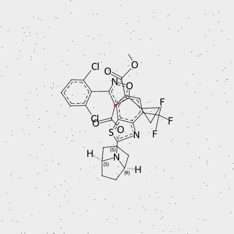 COC(=O)c1cc(C(F)(F)F)c2nc(N3[C@@H]4CC[C@H]3C[C@H](OC(=O)c3c(-c5c(Cl)cccc5Cl)noc3C3CC3)C4)sc2c1